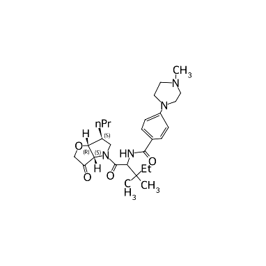 CCC[C@H]1CN(C(=O)C(NC(=O)c2ccc(N3CCN(C)CC3)cc2)C(C)(C)CC)[C@@H]2C(=O)CO[C@H]12